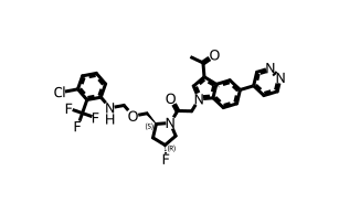 CC(=O)c1cn(CC(=O)N2C[C@H](F)C[C@H]2COCNc2cccc(Cl)c2C(F)(F)F)c2ccc(-c3ccnnc3)cc12